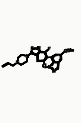 C=CCN1CCN(c2snc3c(F)c(-c4cc(OC)cc5cnn(C)c45)c(Cl)cc23)CC1